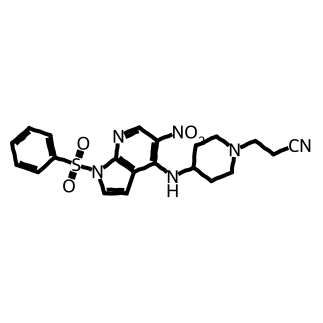 N#CCCN1CCC(Nc2c([N+](=O)[O-])cnc3c2ccn3S(=O)(=O)c2ccccc2)CC1